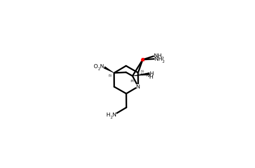 NCC1C[C@]2([N+](=O)[O-])C[C@@H](CN)N1[C@@H](CN)C2